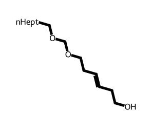 CCCCCCCCOCOCCC=CCCO